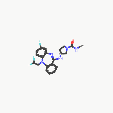 CC(C)NC(=O)N1CC[C@H](NC2=Nc3cc(F)ccc3N(CC(F)F)c3ccccc32)C1